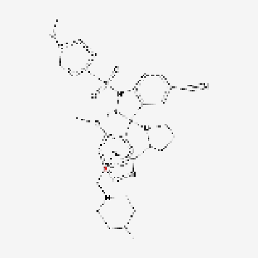 COc1ccc(S(=O)(=O)N2C(=O)C(c3ccc(CN4CCN(C)CC4)cc3OC)(N3CCCC3c3ncco3)c3cc(C#N)ccc32)cc1